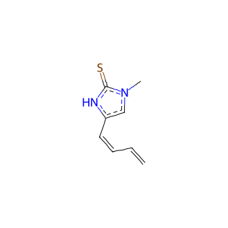 C=C/C=C\c1cn(C)c(=S)[nH]1